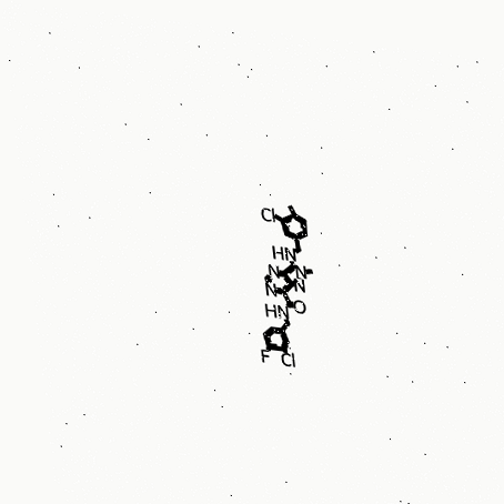 Cc1ccc(CNc2c3ncnc(C(=O)NCc4ccc(F)c(Cl)c4)c3nn2C)cc1Cl